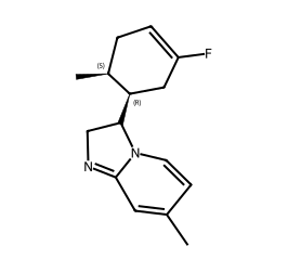 CC1=CC2=NCC([C@@H]3CC(F)=CC[C@@H]3C)N2C=C1